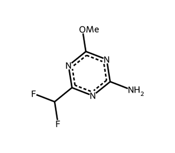 COc1nc(N)nc(C(F)F)n1